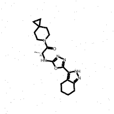 C[C@@H](Nc1nnc(-c2[nH]nc3c2CCCC3)o1)C(=O)N1CCC2(CC1)CC2